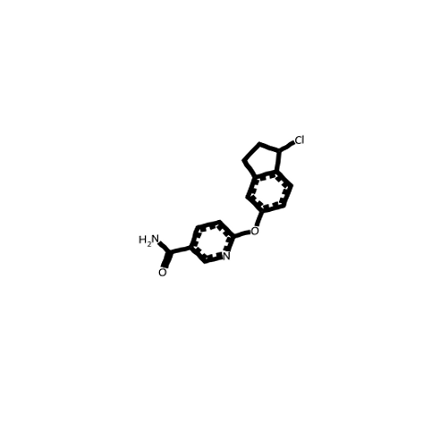 NC(=O)c1ccc(Oc2ccc3c(c2)CCC3Cl)nc1